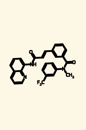 CN(C(=O)c1cccc(/C=C/C(=O)Nc2cccc3cccnc23)c1)c1cccc(C(F)(F)F)c1